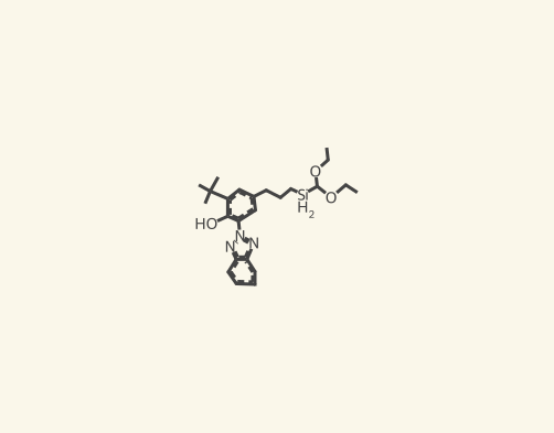 CCOC(OCC)[SiH2]CCCc1cc(-n2nc3ccccc3n2)c(O)c(C(C)(C)C)c1